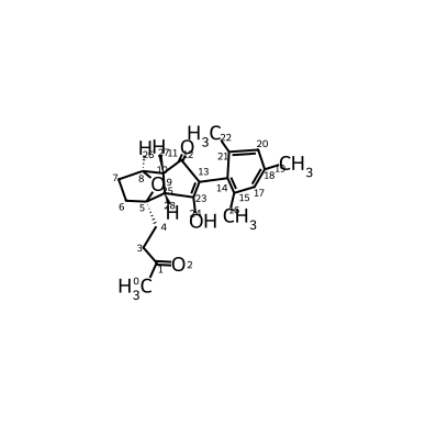 CC(=O)CC[C@]12CC[C@H](O1)[C@@H]1C(=O)C(c3c(C)cc(C)cc3C)=C(O)[C@@H]12